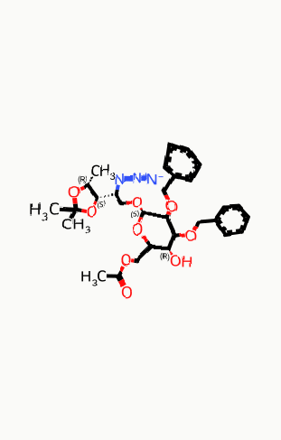 CC(=O)OCC1O[C@H](OCC(N=[N+]=[N-])[C@@H]2OC(C)(C)O[C@@H]2C)C(OCc2ccccc2)C(OCc2ccccc2)[C@@H]1O